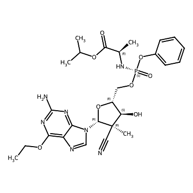 CCOc1nc(N)nc2c1ncn2[C@@H]1O[C@H](CO[P@@](=O)(N[C@H](C)C(=O)OC(C)C)Oc2ccccc2)[C@@H](O)[C@@]1(C)C#N